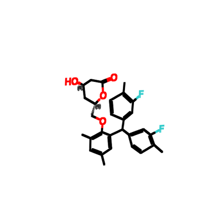 Cc1cc(C)c(OC[C@@H]2C[C@@H](O)CC(=O)O2)c(C(c2ccc(C)c(F)c2)c2ccc(C)c(F)c2)c1